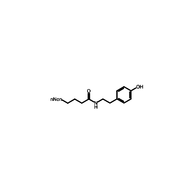 CCCCCCCCCCCCC(=O)NCCc1ccc(O)cc1